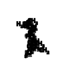 C=CCc1cn(-c2ccc(F)cc2)c(=O)c(C(=O)Nc2ccc(Oc3ccnc4cc(OC)c(OC)cc34)c(F)c2)c1C